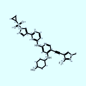 Cn1cc(C#Cc2cnc(Nc3ccnc(-c4cnn(S(=O)(=O)C5CC5)c4)n3)cc2NC2CCC(O)CC2)c(C(F)(F)F)n1